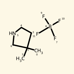 CC1(C)CCNC1.F[B-](F)(F)F